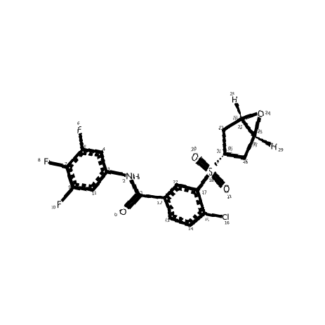 O=C(Nc1cc(F)c(F)c(F)c1)c1ccc(Cl)c(S(=O)(=O)[C@@H]2C[C@@H]3O[C@@H]3C2)c1